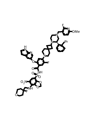 COc1ccc(CN2CCN(C3CC4(CCN(c5cc(Oc6cnc7[nH]ccc7c6)c(C(=O)NS(=O)(=O)c6cc([N+](=O)[O-])c(NCC7(F)CCOCC7)c7c6OCO7)cc5F)CC4)C3)[C@H](c3ccccc3C(C)C)C2)c(F)n1